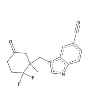 CC1(Cn2cnc3ccc(C#N)cc32)CC(=O)CCC1(F)F